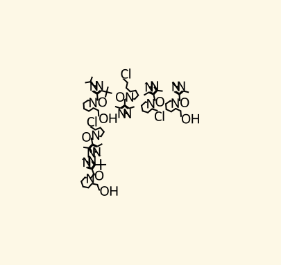 CC(C)n1cc(C(=O)N2CCCCC2CCO)c(C(C)(C)C)n1.Cc1nn(C)c(C)c1C(=O)N1CCCC1CCCCl.Cc1nn(C)c(C)c1C(=O)N1CCCC1CCl.Cc1nn(C)c(C)c1C(=O)N1CCCCC1CCl.Cc1nn(C)cc1C(=O)N1CCCCC1CCO.Cn1cc(C(=O)N2CCCCC2CCO)c(C(C)(C)C)n1